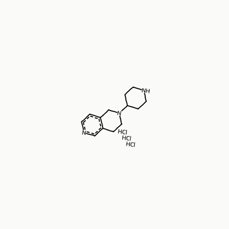 Cl.Cl.Cl.c1cc2c(cn1)CCN(C1CCNCC1)C2